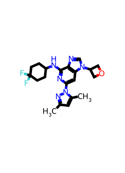 Cc1cc(C)n(-c2cc3c(ncn3C3COC3)c(NC3CCC(F)(F)CC3)n2)n1